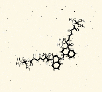 CC(C)(C)OC(=O)NCCC[C@](C)(N)C(=O)N1C=CC(OC2C=CN(C(=O)[C@@](C)(N)CCCNC(=O)OC(C)(C)C)c3ccccc32)c2ccccc21